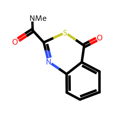 CNC(=O)c1nc2ccccc2c(=O)s1